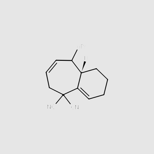 CCCC1C=CCC(C#N)(C#N)C2=CCCC[C@H]21